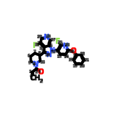 C=CC(=O)N1CCCC(c2nn(-c3ccc(Oc4ccccc4)nc3F)c3cncc(F)c23)C1